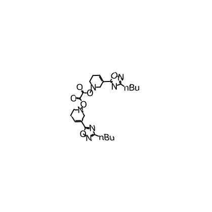 CCCCc1noc(C2=CCCN(OC(=O)C(=O)ON3CCC=C(c4nc(CCCC)no4)C3)C2)n1